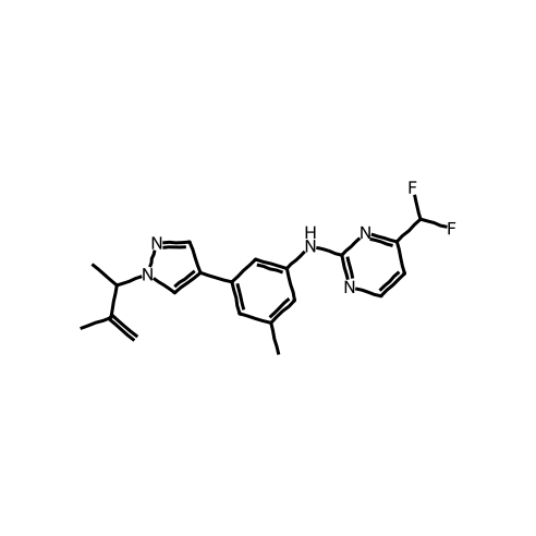 C=C(C)C(C)n1cc(-c2cc(C)cc(Nc3nccc(C(F)F)n3)c2)cn1